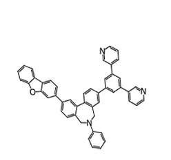 c1ccc(N2Cc3cc(-c4cc(-c5cccnc5)cc(-c5cccnc5)c4)ccc3-c3cc(-c4ccc5c(c4)oc4ccccc45)ccc3C2)cc1